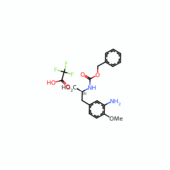 COc1ccc(C[C@H](NC(=O)OCc2ccccc2)C(=O)O)cc1N.O=C(O)C(F)(F)F